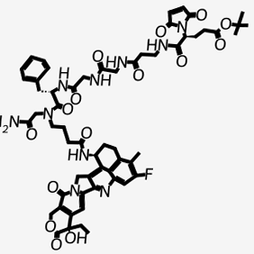 CC[C@@]1(O)C(=O)OCc2c1cc1n(c2=O)Cc2c-1nc1cc(F)c(C)c3c1c2[C@@H](NC(=O)CCCN(CC(N)=O)C(=O)[C@H](Cc1ccccc1)NC(=O)CNC(=O)CNC(=O)CCNC(=O)[C@H](CCC(=O)OC(C)(C)C)N1C(=O)C=CC1=O)CC3